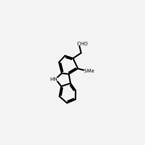 CSc1c(CC=O)ccc2[nH]c3ccccc3c12